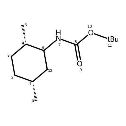 C[C@@H]1CC[C@H](C)C(NC(=O)OC(C)(C)C)C1